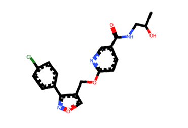 CC(O)CNC(=O)c1ccc(OCc2conc2-c2ccc(Cl)cc2)nc1